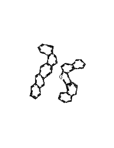 c1ccc2c(c1)ccc1c2oc2ccc3ccccc3c21.c1ccc2cc3cc4c(ccc5ccccc54)cc3cc2c1